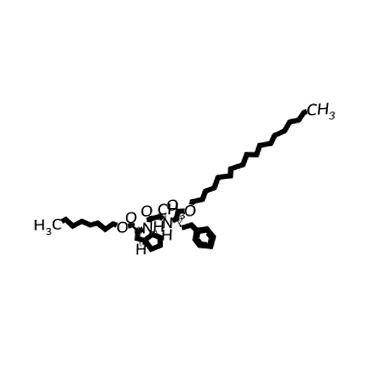 CCCCCCCCCCCCCCCCCCOC(=O)[C@H](CCc1ccccc1)N[C@@H](C)C(=O)N1[C@H](C(=O)OCCCCCCCC)C[C@@H]2CCC[C@@H]21